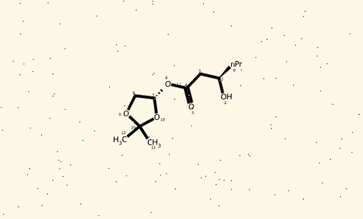 CCC[C@@H](O)CC(=O)O[C@H]1COC(C)(C)O1